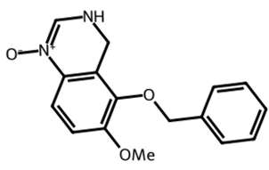 COc1ccc2c(c1OCc1ccccc1)CNC=[N+]2[O-]